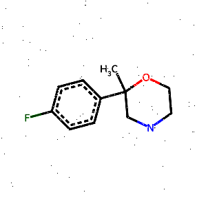 CC1(c2ccc(F)cc2)C[N]CCO1